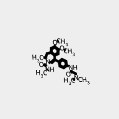 CNC(=O)N1C=C(c2ccc(NC(=O)CN(C)C)cc2)c2cc(OC)c(OC)cc2CC1C